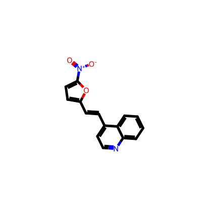 O=[N+]([O-])c1ccc(C=Cc2ccnc3ccccc23)o1